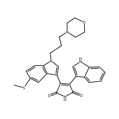 CSc1ccc2c(c1)c(C1=C(c3c[nH]c4ccccc34)C(=O)NC1=O)cn2CCCN1CCOCC1